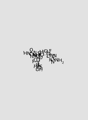 Nc1ncnc2c1ncn2[C@@H]1O[C@H](COP(O)(=S)O[C@@H]2C[C@@](CF)(CO[PH](O)=S)O[C@H]2n2cnc3c(=O)[nH]cnc32)[C@@H](O)[C@@H]1F